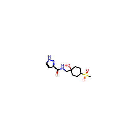 CS(=O)(=O)C1CCC(O)(CNC(=O)c2cc[nH]n2)CC1